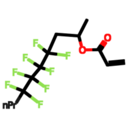 C=CC(=O)OC(C)CC(F)(F)C(F)(F)C(F)(F)C(F)(F)CCC